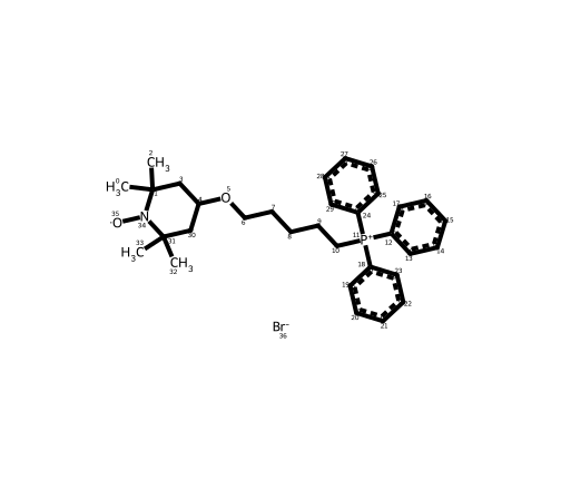 CC1(C)CC(OCCCCC[P+](c2ccccc2)(c2ccccc2)c2ccccc2)CC(C)(C)N1[O].[Br-]